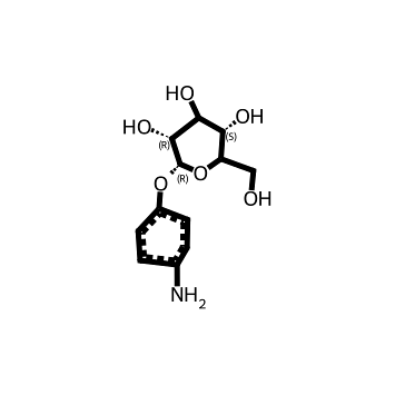 Nc1ccc(O[C@H]2OC(CO)[C@@H](O)C(O)[C@H]2O)cc1